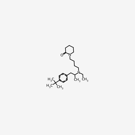 CCN(CCCCN1CCCCC1=O)C(C)Cc1ccc(C(C)(C)C)cc1